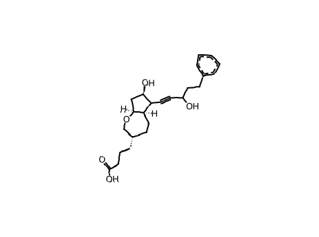 O=C(O)CCC[C@H]1CC[C@@H]2C(C#CC(O)CCc3ccccc3)[C@H](O)C[C@@H]2OC1